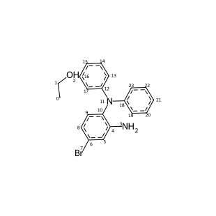 CCO.Nc1cc(Br)ccc1N(c1ccccc1)c1ccccc1